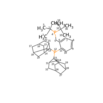 CC(C)(C)P(Cc1ccccc1P(C1C2CC3CC(C2)CC1C3)C1C2CC3CC(C2)CC1C3)C(C)(C)C